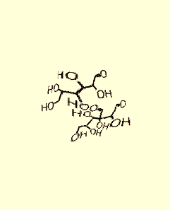 O=CC(O)C(O)(C=O)C(O)C(O)CO.O=CC(O)C(O)C(O)C(O)CO